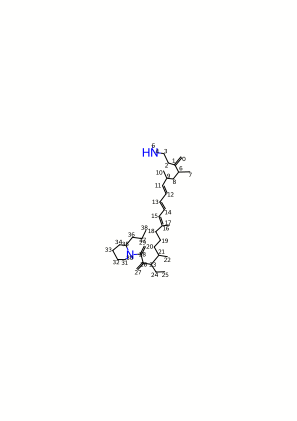 C=C(CCNC)C(C)CC(C)C=C/C=C/C=C(\C)CCCC(C)C(CC)C(=C)C(=C)N1CCCCC1CCC